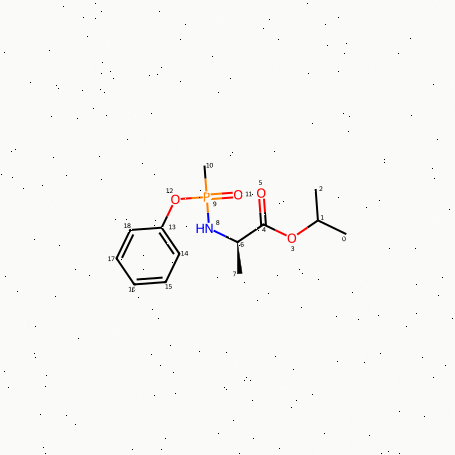 CC(C)OC(=O)[C@@H](C)NP(C)(=O)Oc1ccccc1